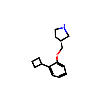 c1ccc(C2CCC2)c(OC[C@H]2CCNC2)c1